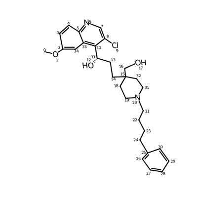 COc1ccc2ncc(Cl)c([C@@H](O)CCC3(CO)CCN(CCCCc4ccccc4)CC3)c2c1